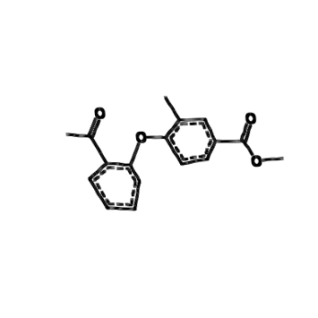 COC(=O)c1ccc(Oc2ccccc2C(C)=O)c(C)c1